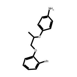 CCCc1ccccc1OCC(C)Oc1ccc(N)cc1